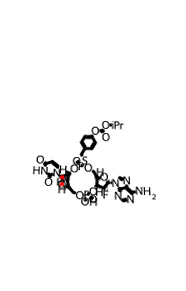 CC(C)OC(=O)Oc1ccc(CSP2(=O)OC[C@H]3O[C@@H](n4cnc5c(N)ncnc54)[C@H](F)[C@@H]3OP(=O)(O)OC[C@H]3O[C@@H](n4ccc(=O)[nH]c4=O)[C@H](O2)[C@@H]3F)cc1